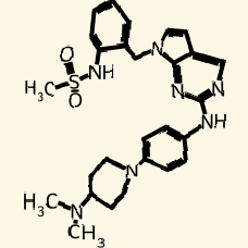 CN(C)C1CCN(c2ccc(Nc3ncc4ccn(Cc5ccccc5NS(C)(=O)=O)c4n3)cc2)CC1